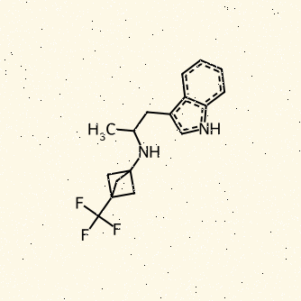 CC(Cc1c[nH]c2ccccc12)NC12CC(C(F)(F)F)(C1)C2